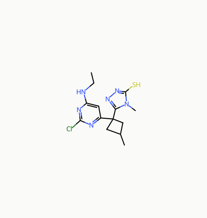 CCNc1cc(C2(c3nnc(S)n3C)CC(C)C2)nc(Cl)n1